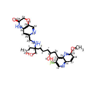 CCC(CO)(CCCC(O)Cc1c(F)cnc2ccc(OC)nc12)NCc1cc2c(cn1)OCC(=O)N2